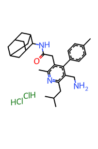 Cc1ccc(-c2c(CC(=O)NC3C4CC5CC(C4)CC3C5)c(C)nc(CC(C)C)c2CN)cc1.Cl.Cl